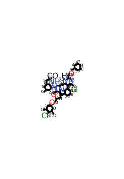 Cc1cc(N2CC(C)n3c(c(CCCOc4cc(C)c(Cl)c(C)c4)c4ccc(Cl)c(-c5c(C)nc(COCc6ccccc6)nc5C)c43)C2=O)c2[nH]c(C(=O)O)cc2c1